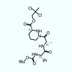 CC(C)[C@H](NC(=O)OC(C)(C)C)C(=O)N[C@@H](C)C(=O)N1CCC[C@@H](C(=O)OCC(C)(Cl)Cl)N1